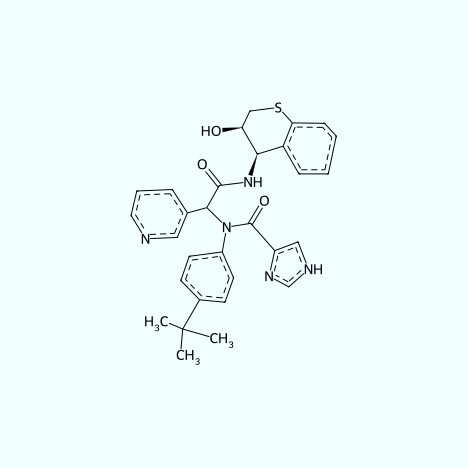 CC(C)(C)c1ccc(N(C(=O)c2c[nH]cn2)C(C(=O)N[C@@H]2c3ccccc3SC[C@@H]2O)c2cccnc2)cc1